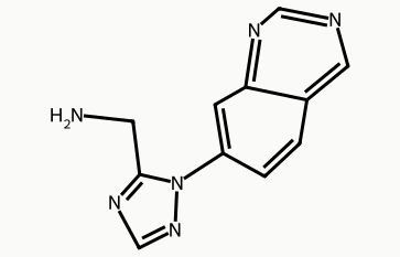 NCc1ncnn1-c1ccc2cncnc2c1